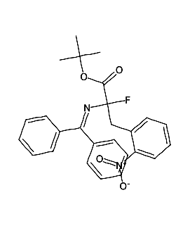 CC(C)(C)OC(=O)C(F)(Cc1ccccc1[N+](=O)[O-])N=C(c1ccccc1)c1ccccc1